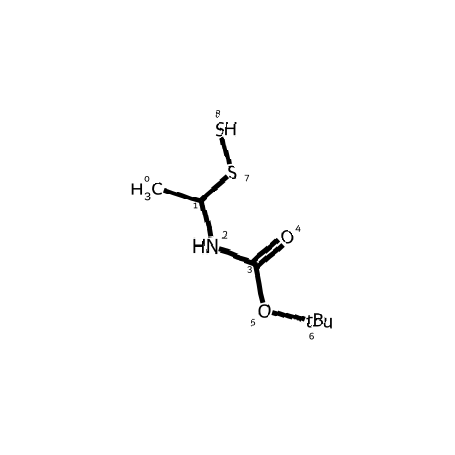 CC(NC(=O)OC(C)(C)C)SS